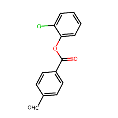 O=Cc1ccc(C(=O)Oc2ccccc2Cl)cc1